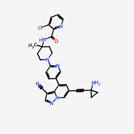 CC1(NC(=O)c2ncccc2Cl)CCN(c2ccc(-c3cc(C#CC4(N)CC4)cn4ncc(C#N)c34)cn2)CC1